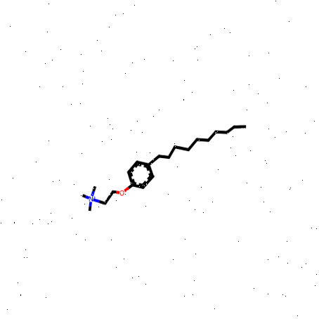 CCCCCCCCCCc1ccc(OCC[N+](C)(C)C)cc1